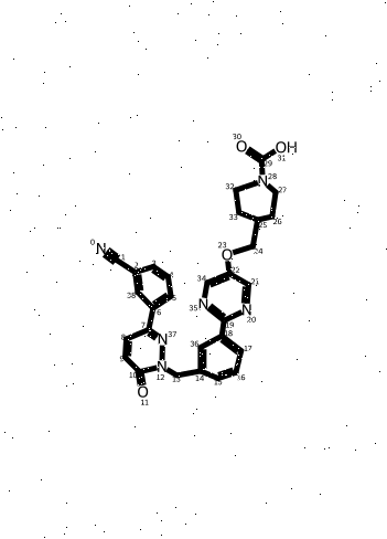 N#Cc1cccc(-c2ccc(=O)n(Cc3cccc(-c4ncc(OCC5CCN(C(=O)O)CC5)cn4)c3)n2)c1